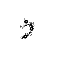 C[C@H](C(N)=O)N(c1ccc(F)cc1)c1nc(N)c(C(=O)c2ccc(OCC(=O)NCc3ccc(Cl)cc3)cc2)s1